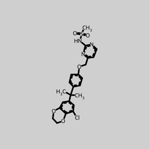 CC(C)(c1ccc(OCc2ccnc(NS(C)(=O)=O)n2)cc1)c1cc(Cl)c2c(c1)OCCO2